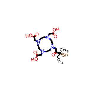 CC(C)(S)C(=O)CN1CCN(CC(=O)O)CCN(CC(=O)O)CCN(CC(=O)O)CC1